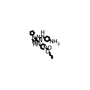 C=CCCOC(=O)N1CCC(Nc2nc(NC3CCC(N)CC3)nc3c2ncn3C2CCCC2)CC1